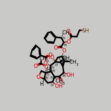 CC(=O)O[C@@]12CO[C@@H]1C[C@H](O)[C@@]1(C)C(=O)[C@H](O)C3=C(C)[C@@H](OC(=O)[C@H](OC(=O)CCS)[C@@H](C)c4ccccc4)C[C@@](O)([C@@H](OC(=O)c4ccccc4)[C@H]21)C3(C)C